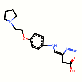 N=N/C(=C\Nc1ccc(OCCN2CCCC2)cc1)CC(=O)O